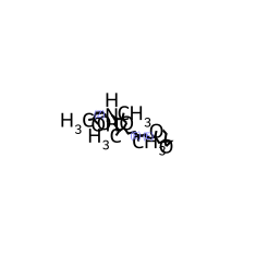 CC(/C=C/C1CC2(CCO1)CO2)=C\CC1OC(C)C(NC(=O)/C=C\C(C)O)CC1C